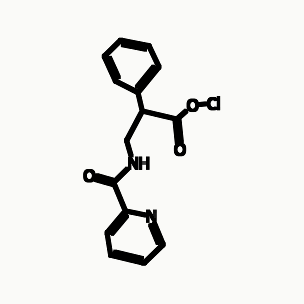 O=C(NCC(C(=O)OCl)c1ccccc1)c1ccccn1